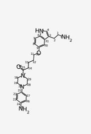 NCCc1c[nH]c2ccc(OCCCCC(=O)N3CCN(c4ccc(N)cc4)CC3)cc12